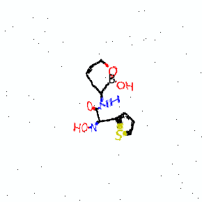 O=C(NC1CC=CCOB1O)/C(=N\O)c1cccs1